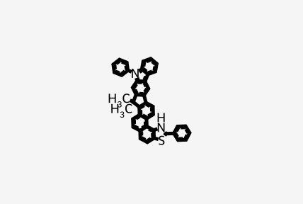 CC1(C)c2cc3c(cc2-c2ccc4c(ccc5ccc6c(c54)NC(c4ccccc4)S6)c21)c1ccccc1n3-c1ccccc1